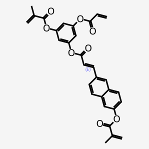 C=CC(=O)Oc1cc(OC(=O)/C=C/c2ccc3cc(OC(=O)C(=C)C)ccc3c2)cc(OC(=O)C(=C)C)c1